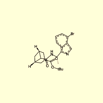 C[C@H](NC(=O)C1[C@@H]2C[C@H]1CN(C(=O)OC(C)(C)C)C2)c1ncc2c(Br)cccn12